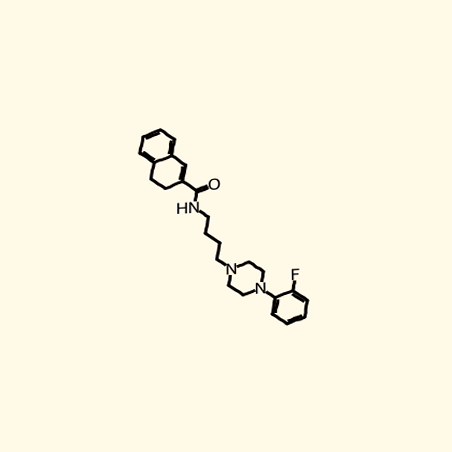 O=C(NCCCCN1CCN(c2ccccc2F)CC1)C1=Cc2ccccc2CC1